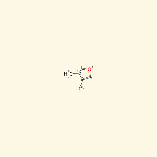 CC(=O)c1cocc1C